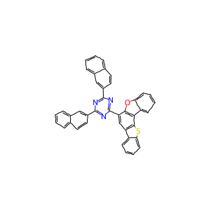 c1ccc2cc(-c3nc(-c4ccc5ccccc5c4)nc(-c4cc5c6ccccc6sc5c5c4oc4ccccc45)n3)ccc2c1